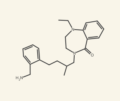 CCN1CCN(CC(C)CCc2ccccc2CN)C(=O)c2ccccc21